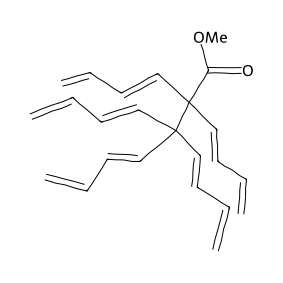 C=CC=CC(C=CC=C)(C=CC=C)C(C=CC=C)(C=CC=C)C(=O)OC